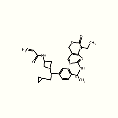 C=CC(=O)NC1CN(C(CC2CC2)c2ccc([C@H](C)Nc3ncc4c(n3)N(CC)C(=O)OC4)cc2)C1